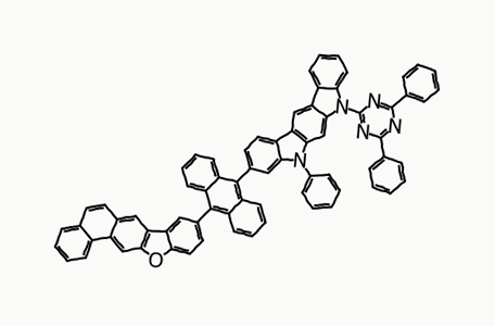 c1ccc(-c2nc(-c3ccccc3)nc(-n3c4ccccc4c4cc5c6ccc(-c7c8ccccc8c(-c8ccc9oc%10cc%11c(ccc%12ccccc%12%11)cc%10c9c8)c8ccccc78)cc6n(-c6ccccc6)c5cc43)n2)cc1